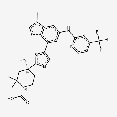 Cn1ccc2c(-c3cnc([C@@]4(O)CC[C@H](C(=O)O)C(C)(C)C4)s3)cc(Nc3nccc(C(F)(F)F)n3)cc21